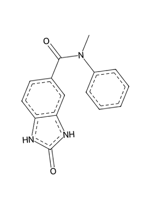 CN(C(=O)c1ccc2[nH]c(=O)[nH]c2c1)c1ccccc1